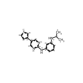 CC(C)Nc1cccc(Nc2ncc(-c3ccsc3)cn2)c1